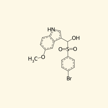 COc1ccc2[nH]cc(C(O)S(=O)(=O)c3ccc(Br)cc3)c2c1